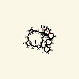 O=[N+]([O-])c1c(-c2ccccc2)c2c(-c3ccccc3)c3nc(cc4ccc(cc5nc(cc1n2-c1ccccc1)C=C5)[nH]4)C=C3c1ccccc1.[Cu]